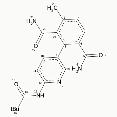 Cc1ccc(C(N)=O)c(-c2ccc(NC(=O)C(C)(C)C)nc2)c1C(N)=O